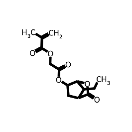 C=C(C)C(=O)OCC(=O)OC1CC2C(=O)OC1C2CC